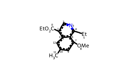 CCOC(=O)c1cnc(CC)c2c(OC)cc(C)cc12